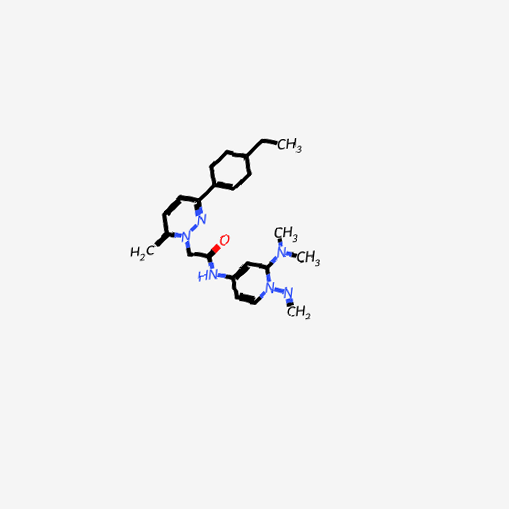 C=NN1C=CC(NC(=O)CN2N=C(C3=CCC(CC)CC3)C=CC2=C)=CC1N(C)C